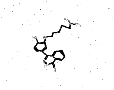 CN(C)CCCCCNc1cc(-c2n[nH]c(=O)c3ccccc23)ccc1O